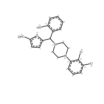 O=Cc1ccc(C(c2ccccc2O)N2CCN(c3cccc(Cl)c3Cl)CC2)o1